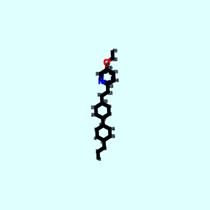 CCCC1CCC(C2CCC(CCc3ccc(OCC)cn3)CC2)CC1